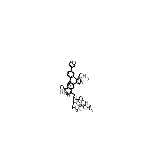 Cn1ncc(-c2ccc3c(=O)[nH]nc(CNC(=O)OC(C)(C)C)c3c2)c1-c1cc(C2=CCOC2)ccc1C#N